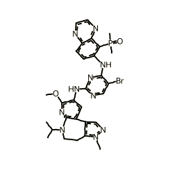 COc1nc2c(cc1Nc1ncc(Br)c(Nc3ccc4nccnc4c3P(C)(C)=O)n1)-c1cnn(C)c1CCN2C(C)C